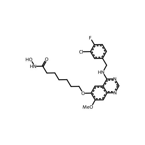 COc1cc2ncnc(NCc3ccc(F)c(Cl)c3)c2cc1OCCCCCCC(=O)NO